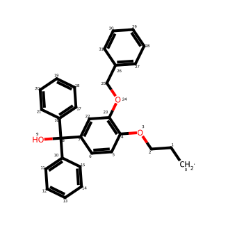 [CH2]CCOc1ccc(C(O)(c2ccccc2)c2ccccc2)cc1OCc1ccccc1